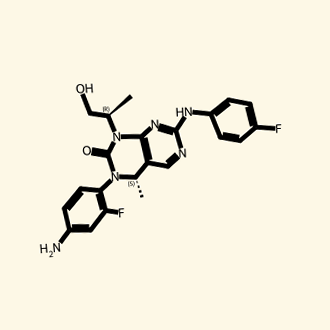 C[C@H](CO)N1C(=O)N(c2ccc(N)cc2F)[C@@H](C)c2cnc(Nc3ccc(F)cc3)nc21